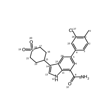 Cc1ccc(-c2cc(C(N)=O)c3[nH]cc(C4CCS(=O)(=O)CC4)c3c2)cc1Cl